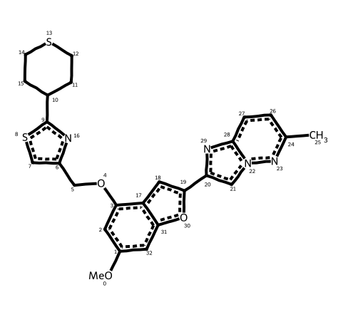 COc1cc(OCc2csc(C3CCSCC3)n2)c2cc(-c3cn4nc(C)ccc4n3)oc2c1